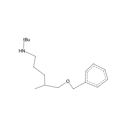 CC(CCCNC(C)(C)C)COCc1ccccc1